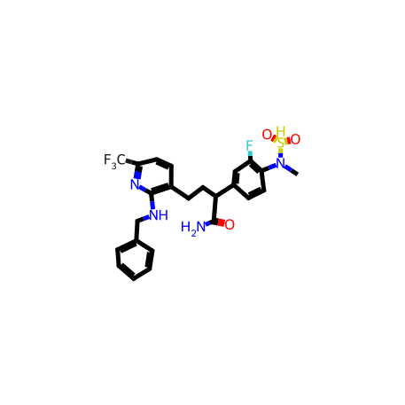 CN(c1ccc(C(CCc2ccc(C(F)(F)F)nc2NCc2ccccc2)C(N)=O)cc1F)[SH](=O)=O